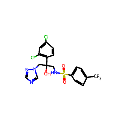 O=S(=O)(NCC(O)(Cn1cncn1)c1ccc(Cl)cc1Cl)c1ccc(C(F)(F)F)cc1